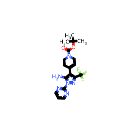 CC(C)(C)OC(=O)N1CC=C(c2c(C(F)(F)F)nn(-c3ncccn3)c2N)CC1